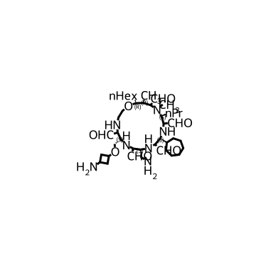 CCCCCC[C@H]1OCCNC(C=O)[C@@H](COC2CC(N)C2)NC(C=O)[C@H](CN)NC(C=O)[C@H](C2CCCCCC2)NC(C=O)[C@H](CCC)N(C)C(C=O)[C@H]1C